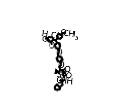 COc1ccc(-c2c3ccc(=O)cc-3oc3cc(OCc4ccc(OCC5=C(C=O)N6C(=O)[C@@H](NC(=O)Cc7ccccc7)C6SC56CC6)cc4)ccc23)c(C)c1